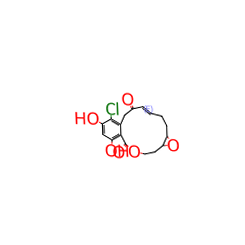 O=C1/C=C/CCC2OC2CCOC(=O)c2c(O)cc(O)c(Cl)c2C1